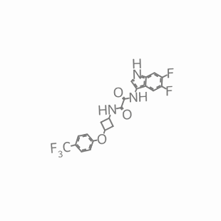 O=C(Nc1c[nH]c2cc(F)c(F)cc12)C(=O)NC1CC(Oc2ccc(C(F)(F)F)cc2)C1